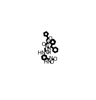 O=C(CN1NC(C2CCCCC2)c2ccccc2N(CC(=O)C2CCCC2)C1=O)Nc1cccc(-c2nc(=O)o[nH]2)c1